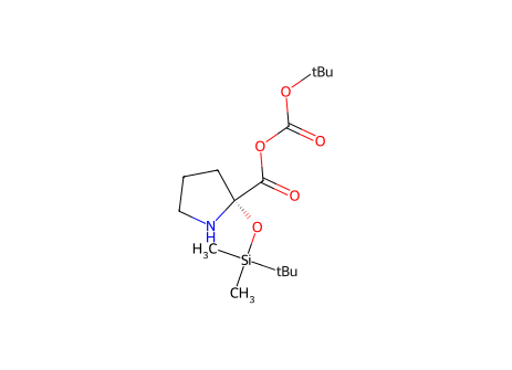 CC(C)(C)OC(=O)OC(=O)[C@]1(O[Si](C)(C)C(C)(C)C)CCCN1